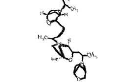 CC(CC1O[C@@H]2C[C@H]1N(C(C)CC1O[C@H]3C[C@@H]1N(C(C)C)C3)C2)N1CC2CC1CO2